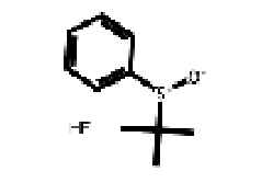 CC(C)(C)[S+]([O-])c1ccccc1.F